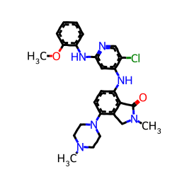 COc1ccccc1Nc1cc(Nc2ccc(N3CCN(C)CC3)c3c2C(=O)N(C)C3)c(Cl)cn1